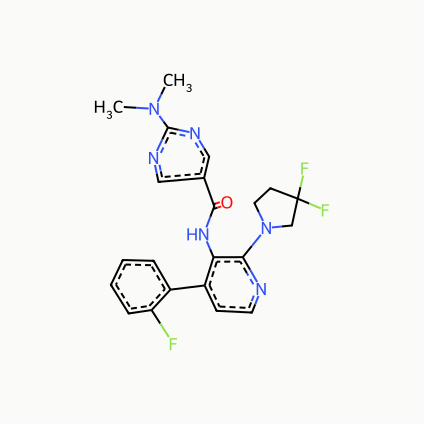 CN(C)c1ncc(C(=O)Nc2c(-c3ccccc3F)ccnc2N2CCC(F)(F)C2)cn1